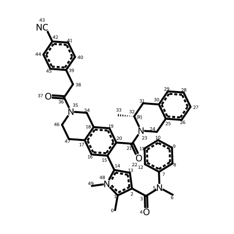 Cc1c(C(=O)N(C)c2ccccc2)cc(-c2cc3c(cc2C(=O)N2Cc4ccccc4C[C@H]2C)CN(C(=O)Cc2ccc(C#N)cc2)CC3)n1C